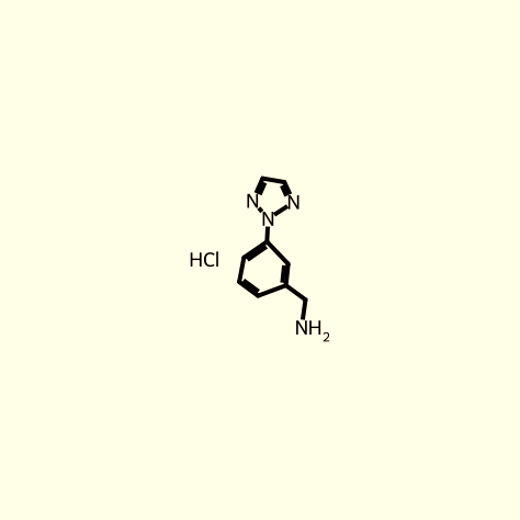 Cl.NCc1cccc(-n2nccn2)c1